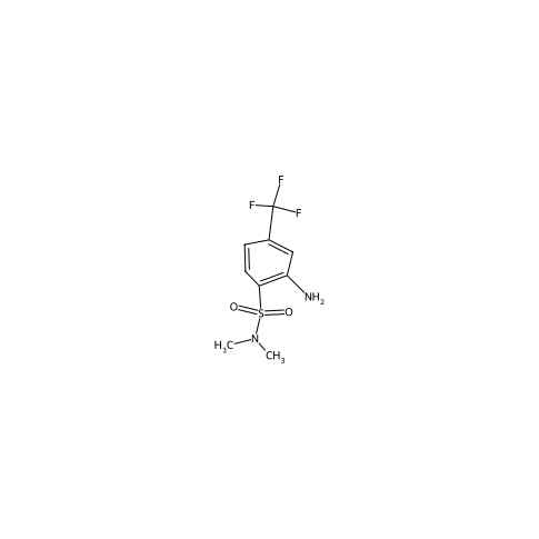 CN(C)S(=O)(=O)c1ccc(C(F)(F)F)cc1N